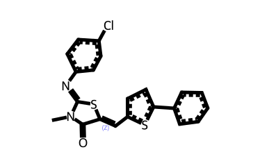 CN1C(=O)/C(=C/c2ccc(-c3ccccc3)s2)SC1=Nc1ccc(Cl)cc1